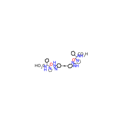 O=C(O)N[C@@H](C(=O)N1CCC[C@H]1c1nc2cc(C#Cc3ccc4[nH]c([C@@H]5CCCN5C(=O)[C@H](NC(=O)O)c5ccccc5)nc4c3)ccc2[nH]1)c1ccccc1